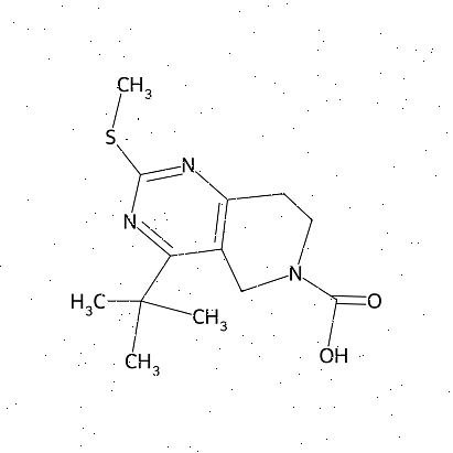 CSc1nc2c(c(C(C)(C)C)n1)CN(C(=O)O)CC2